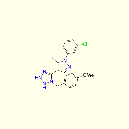 COc1ccc(CN2NNN=C2c2cnn(-c3cccc(Cl)c3)c2I)cc1